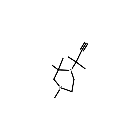 C#CC(C)(C)N1CCN(C)CC1(C)C